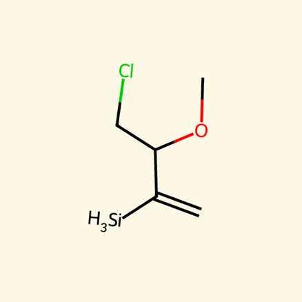 C=C([SiH3])C(CCl)OC